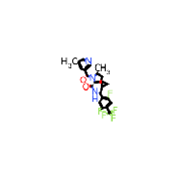 Cc1cncc(C(=O)N2[C@H](C)CC[C@@H]2C(=O)N[C@@H](c2cc(F)c(C(F)(F)F)cc2F)C2CC2)c1